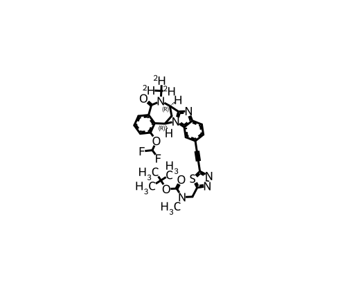 [2H]C([2H])([2H])N1C(=O)c2cccc(OC(F)F)c2[C@H]2C[C@@H]1c1nc3ccc(C#Cc4nnc(CN(C)C(=O)OC(C)(C)C)s4)cc3n12